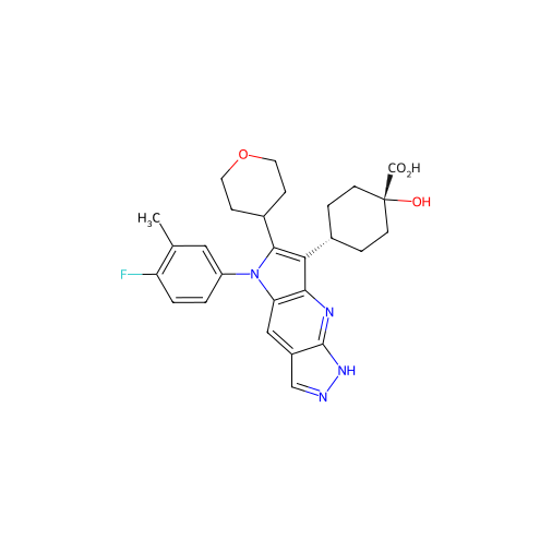 Cc1cc(-n2c(C3CCOCC3)c([C@H]3CC[C@](O)(C(=O)O)CC3)c3nc4[nH]ncc4cc32)ccc1F